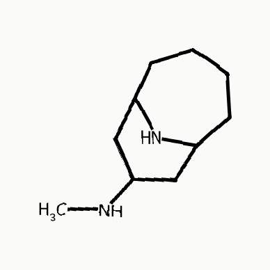 CNC1CC2CCCCC(C1)N2